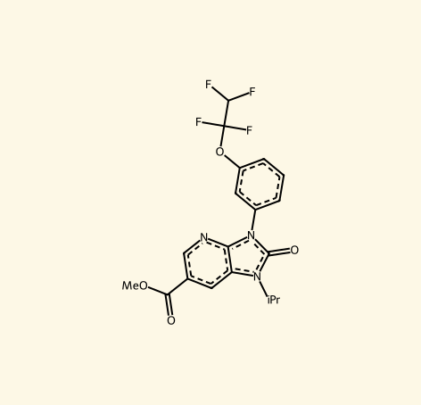 COC(=O)c1cnc2c(c1)n(C(C)C)c(=O)n2-c1cccc(OC(F)(F)C(F)F)c1